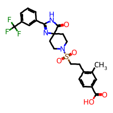 Cc1cc(C(=O)O)ccc1CCS(=O)(=O)N1CCC2(CC1)N=C(c1cccc(C(F)(F)F)c1)NC2=O